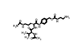 CC(=O)N[C@H](C(=O)N[C@@H](CCCNC(N)=O)C(=O)Nc1ccc(COC(=O)NCCN)cc1)C(C)C